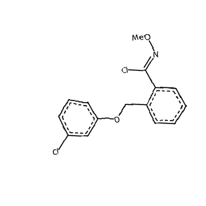 CON=C(Cl)c1ccccc1COc1cccc(Cl)c1